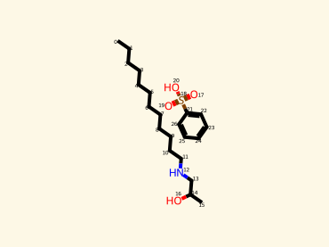 CCCCCCCCCCCCNCC(C)O.O=S(=O)(O)c1ccccc1